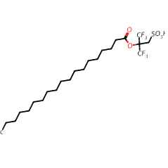 CCCCCCCCCCCCCCCCCCCCCCCCCCCC(=O)OC(CS(=O)(=O)O)(C(F)(F)F)C(F)(F)F